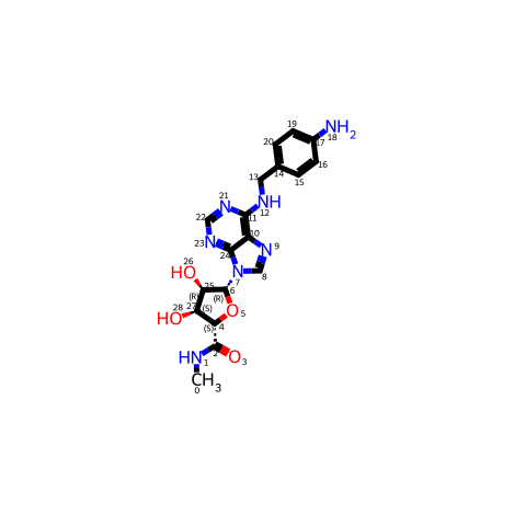 CNC(=O)[C@H]1O[C@@H](n2cnc3c(NCc4ccc(N)cc4)ncnc32)[C@H](O)[C@@H]1O